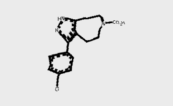 O=C(O)N1CCc2[nH]nc(-c3ccc(Cl)cc3)c2CC1